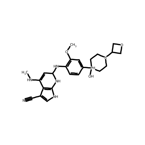 CNC1=CC(Nc2ccc([PH]3(O)CCN(C4COC4)CC3)cc2OC)Nc2[nH]cc(C#N)c21